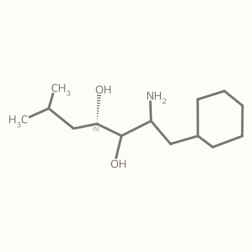 CC(C)C[C@H](O)C(O)C(N)CC1CCCCC1